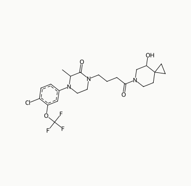 CC1C(=O)N(CCCC(=O)N2CCC3(CC3)C(O)C2)CCN1c1ccc(Cl)c(OC(F)(F)F)c1